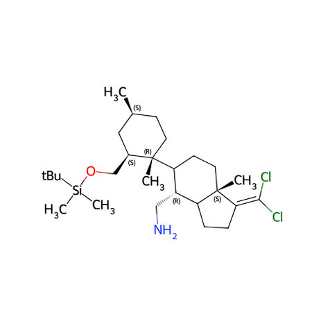 C[C@H]1CC[C@](C)(C2CC[C@]3(C)C(=C(Cl)Cl)CCC3[C@@H]2CN)[C@@H](CO[Si](C)(C)C(C)(C)C)C1